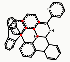 C1=CC(c2cccc3c2Oc2ccccc2C32c3ccccc3-c3ccccc32)C(C2NC(c3ccccn3)=CC(c3ccccc3)N2)C=C1